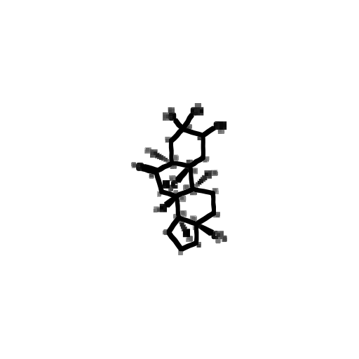 C[C@@]12CCC[C@H]1[C@@H]1CC(=O)[C@H]3CC(O)(O)C(O)C[C@]3(C)[C@H]1CC2